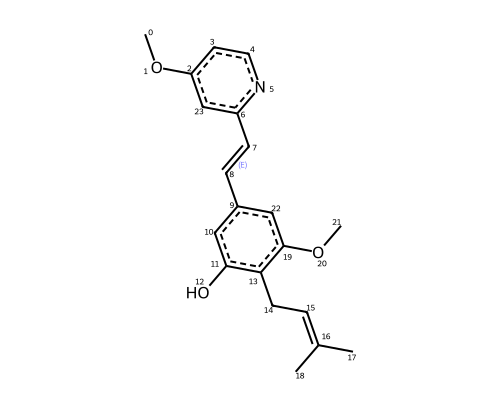 COc1ccnc(/C=C/c2cc(O)c(CC=C(C)C)c(OC)c2)c1